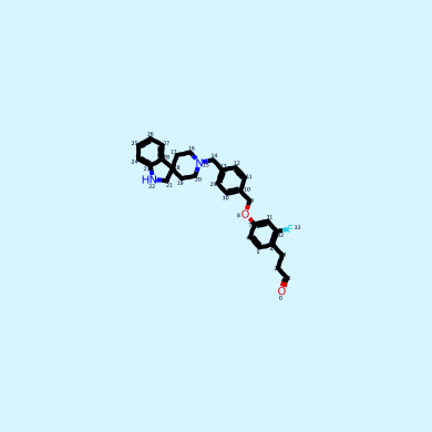 O=CCCc1ccc(OCc2ccc(CN3CCC4(CC3)CNc3ccccc34)cc2)cc1F